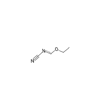 CCO/C=N/C#N